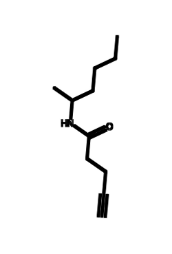 C#CCCC(=O)NC(C)CCCC